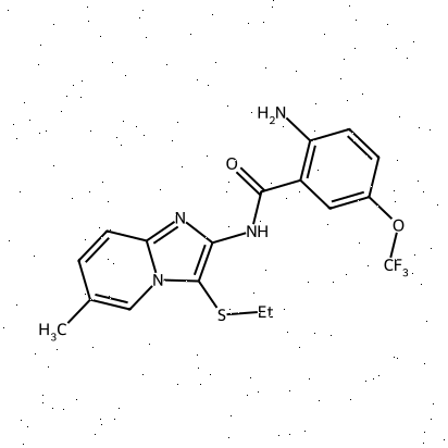 CCSc1c(NC(=O)c2cc(OC(F)(F)F)ccc2N)nc2ccc(C)cn12